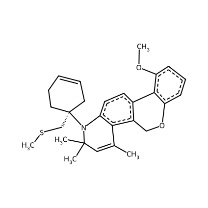 COc1cccc2c1-c1ccc3c(c1CO2)C(C)=CC(C)(C)N3[C@]1(CSC)CC=CCC1